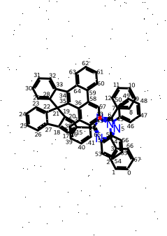 c1ccc(-c2nc(-c3ccccc3)nc(-c3ccc4c(c3)C3(c5ccccc5-4)c4ccccc4-c4c3c3c5ccccc5c(N(c5ccccc5)c5ccccc5)cc3c3ccccc43)n2)cc1